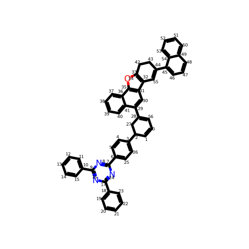 C1=CC(c2ccc(-c3nc(-c4ccccc4)nc(-c4ccccc4)n3)cc2)CC(c2cc3c4c(oc3c3ccccc23)CCC(c2cccc3ccccc23)=C4)=C1